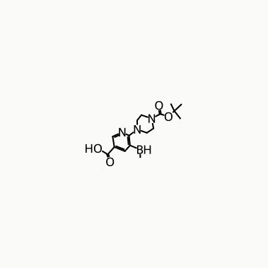 CBc1cc(C(=O)O)cnc1N1CCN(C(=O)OC(C)(C)C)CC1